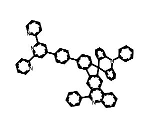 c1ccc(-c2nc3ccccc3c3cc4c(cc23)-c2cc(-c3ccc(-c5cc(-c6ccccn6)nc(-c6ccccn6)c5)cc3)ccc2C42c3ccccc3N(c3ccccc3)c3ccccc32)cc1